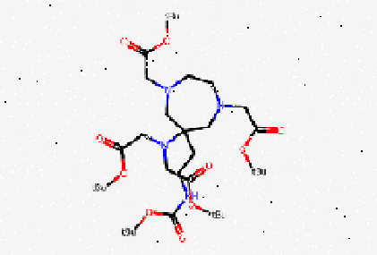 CC(C)(C)OC(=O)CN1CCN(CC(=O)OC(C)(C)C)CC(CCNC(=O)OC(C)(C)C)(N(CC(=O)OC(C)(C)C)CC(=O)OC(C)(C)C)C1